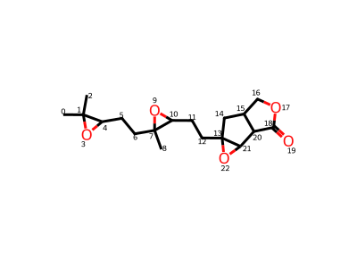 CC1(C)OC1CCC1(C)OC1CCC12CC3COC(=O)C3C1O2